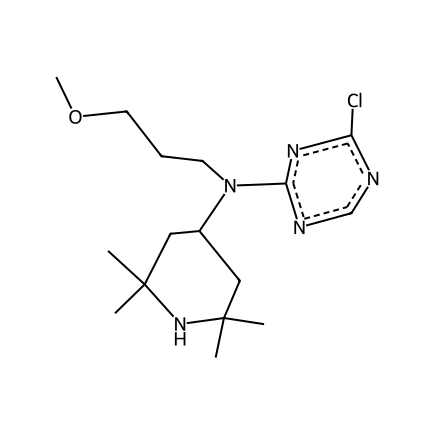 COCCCN(c1ncnc(Cl)n1)C1CC(C)(C)NC(C)(C)C1